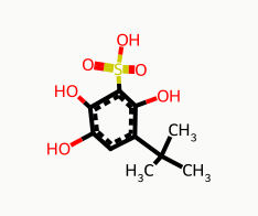 CC(C)(C)c1cc(O)c(O)c(S(=O)(=O)O)c1O